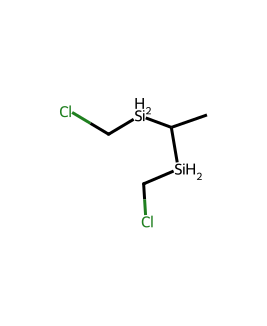 CC([SiH2]CCl)[SiH2]CCl